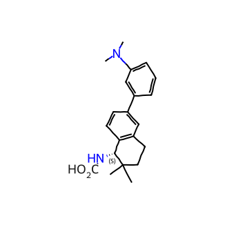 CN(C)c1cccc(-c2ccc3c(c2)CCC(C)(C)[C@@H]3NC(=O)O)c1